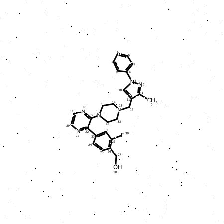 Cc1nn(-c2ccccc2)cc1CN1CCN(c2nccnc2-c2ccc(CO)c(F)c2)CC1